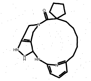 O=C1N2CC3=C(C2)C(NN3)Nc2cccc(n2)CCCCCC12CCCC2